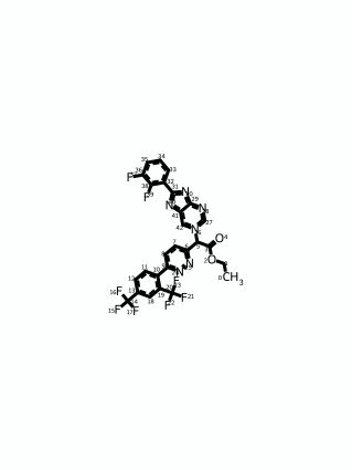 CCOC(=O)C(c1ccc(-c2ccc(C(F)(F)F)cc2C(F)(F)F)nn1)n1cnc2nc(-c3cccc(F)c3F)nc-2c1